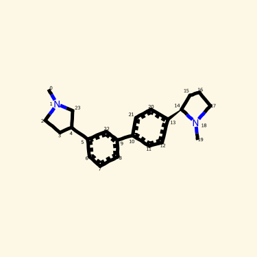 CN1CCC(c2cc[c]c(-c3ccc([C@H]4CCCN4C)cc3)c2)C1